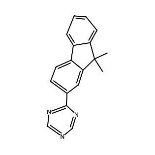 CC1(C)c2ccccc2-c2ccc(-c3ncncn3)cc21